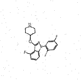 Fc1ccc(F)c(-n2nc(OC3CCNCC3)c3c(F)cccc32)c1